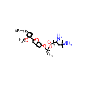 CCCCCc1ccc(-c2cc3ccc(OCC(C)(COC(=O)C(C)(C)C(N)CC(C)(C)N)CC(F)(F)F)cc3o2)c(OC(F)(F)F)c1